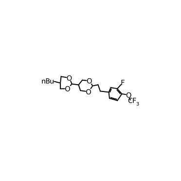 CCCCC1COC(C2COC(CCc3ccc(OC(F)(F)F)c(F)c3)OC2)OC1